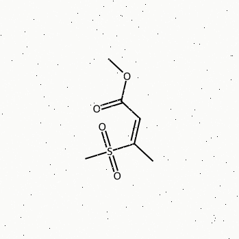 COC(=O)/C=C(/C)S(C)(=O)=O